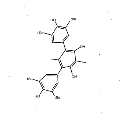 Cc1c(O)c(-c2cc(C(C)(C)C)c(O)c(C(C)(C)C)c2)c(C)c(-c2cc(C(C)(C)C)c(O)c(C(C)(C)C)c2)c1O